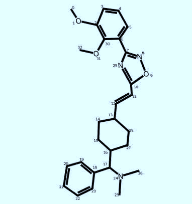 COc1cccc(-c2noc(C=CC3CCC(C(c4ccccc4)N(C)C)CC3)n2)c1OC